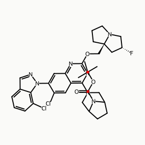 CC(C)(C)OC(=O)N1C2CCC1CN(c1nc(OC[C@@]34CCCN3C[C@H](F)C4)nc3cc(-n4ncc5cccc(Cl)c54)c(Cl)cc13)C2